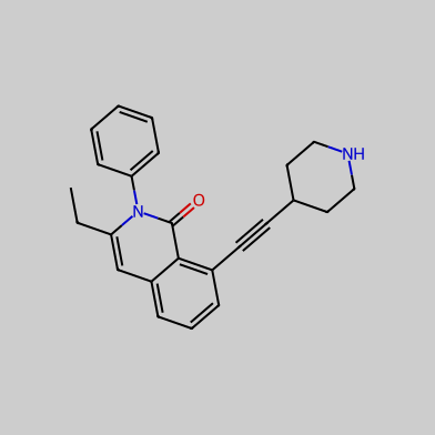 CCc1cc2cccc(C#CC3CCNCC3)c2c(=O)n1-c1ccccc1